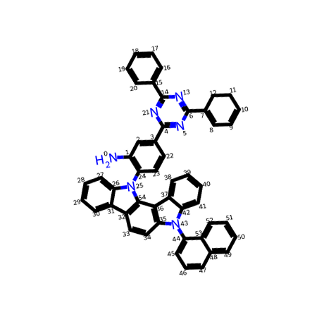 Nc1cc(-c2nc(C3=CC=CCC3)nc(-c3ccccc3)n2)ccc1-n1c2ccccc2c2ccc3c(c4ccccc4n3-c3cccc4ccccc34)c21